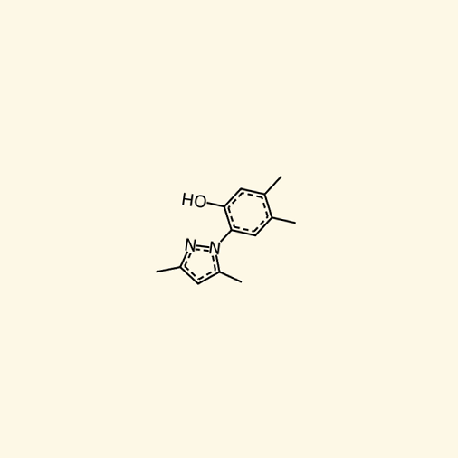 Cc1cc(C)n(-c2cc(C)c(C)cc2O)n1